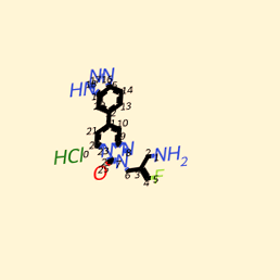 Cl.NC/C(=C\F)Cn1nc2cc(-c3ccc4nn[nH]c4c3)ccn2c1=O